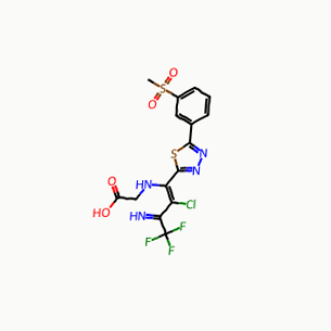 CS(=O)(=O)c1cccc(-c2nnc(/C(NCC(=O)O)=C(\Cl)C(=N)C(F)(F)F)s2)c1